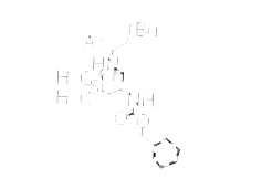 CC(=O)[C@H](CC(C)(C)C)NC[C@H](C[Si](C)(C)C)NC(=O)OCc1ccccc1